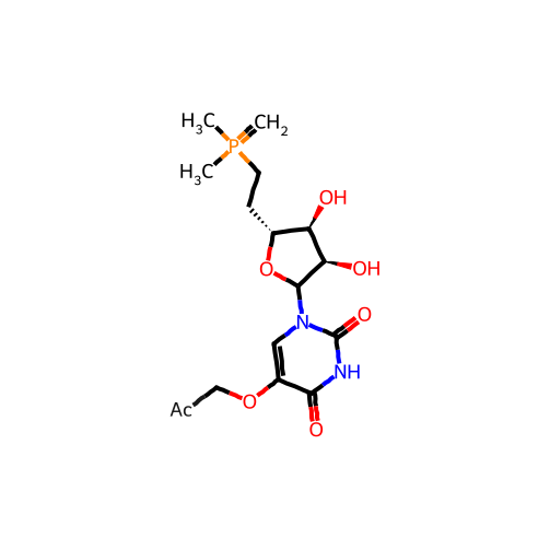 C=P(C)(C)CC[C@H]1OC(n2cc(OCC(C)=O)c(=O)[nH]c2=O)[C@H](O)[C@@H]1O